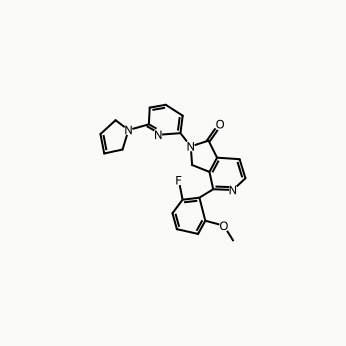 COc1cccc(F)c1-c1nccc2c1CN(c1cccc(N3CC=CC3)n1)C2=O